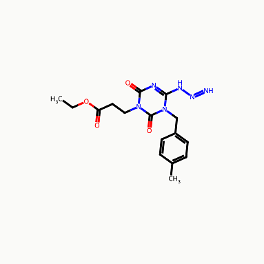 CCOC(=O)CCn1c(=O)nc(NN=N)n(Cc2ccc(C)cc2)c1=O